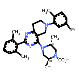 Cc1ccc(C(C)C)cc1N1CCc2nc(-c3c(C)cccc3C)nc(N3C[C@H](C)N(C(=O)O)C[C@H]3C)c2C1